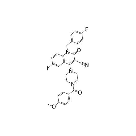 COc1ccc(C(=O)N2CCN(c3c(C#N)c(=O)n(Cc4ccc(F)cc4)c4ccc(I)cc34)CC2)cc1